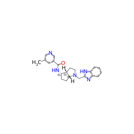 Cc1cncc(C(=O)N[C@H]2CC[C@@H]3[C@H]2CCN3Cc2nc3ccccc3[nH]2)c1